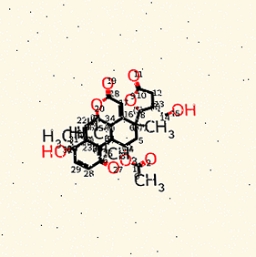 CC(=O)O[C@H]1C[C@@](C)([C@H]2OC(=O)C[C@@H]2CO)C2=CC(=O)O[C@@H]3C[C@@H]4[C@](C)(C(=O)C=C[C@@]4(C)O)[C@@H]1[C@]23C